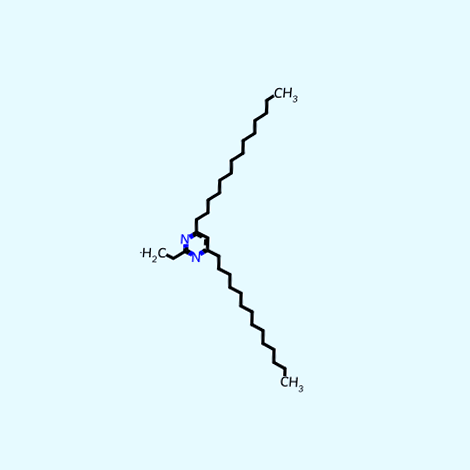 [CH2]Cc1nc(CCCCCCCCCCCCCC)cc(CCCCCCCCCCCCCC)n1